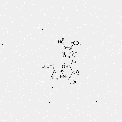 CC[C@H](C)[C@H](NC(=O)[C@@H](N)CC(=O)O)C(=O)NCC(=O)N[C@@H](CO)C(=O)O